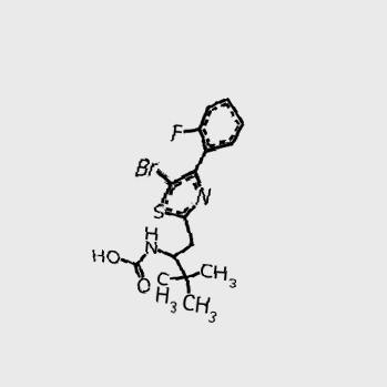 CC(C)(C)C(Cc1nc(-c2ccccc2F)c(Br)s1)NC(=O)O